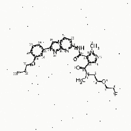 CN(CCOCCF)C(=O)c1cnn(C)c1C(=O)Nc1ccn2cc(-c3cccc(OCCF)c3)nc2n1